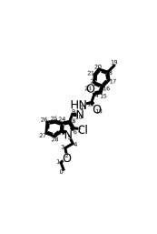 CCOCCn1c(Cl)c(/C=N/NC(=O)c2cc3cc(C)ccc3o2)c2ccccc21